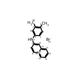 Cc1ccc(Nc2cc[n+]3ccccc3c2)cc1C.[Br-]